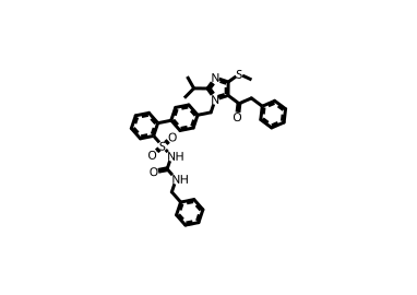 CSc1nc(C(C)C)n(Cc2ccc(-c3ccccc3S(=O)(=O)NC(=O)NCc3ccccc3)cc2)c1C(=O)Cc1ccccc1